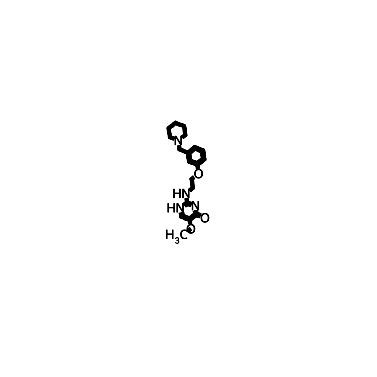 COc1c[nH]c(NCCOc2cccc(CN3CCCCC3)c2)nc1=O